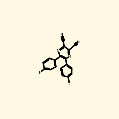 N#Cc1nc(-c2ccc(F)cc2)c(-c2ccc(F)cc2)nc1C#N